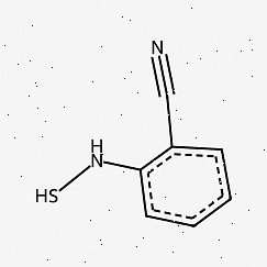 N#Cc1ccccc1NS